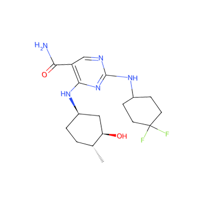 C[C@@H]1CC[C@@H](Nc2nc(NC3CCC(F)(F)CC3)ncc2C(N)=O)C[C@H]1O